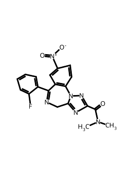 CN(C)C(=O)c1nc2n(n1)-c1ccc([N+](=O)[O-])cc1C(c1ccccc1F)=NC2